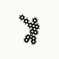 c1ccc(-c2ccc(-c3ccc4c(-c5ccc(-n6c7ccc8ccccc8c7c7c8ccccc8ccc76)c6ccccc56)c5ccccc5c(-c5ccccc5)c4c3)cc2)cc1